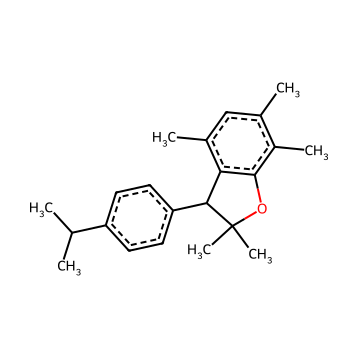 Cc1cc(C)c2c(c1C)OC(C)(C)C2c1ccc(C(C)C)cc1